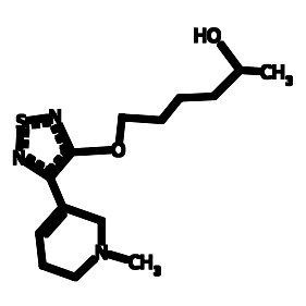 CC(O)CCCCOc1nsnc1C1=CCCN(C)C1